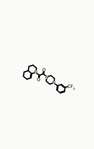 O=C(C(=O)N1CCCC2CCCC=C21)N1CCN(c2cccc(C(F)(F)F)c2)CC1